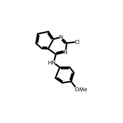 COc1ccc(Nc2nc(Cl)nc3ccccc23)cc1